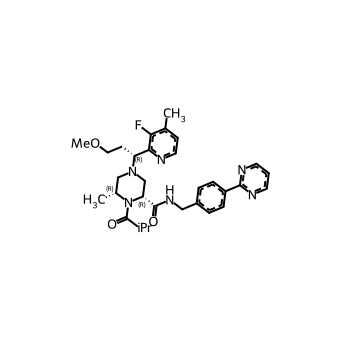 COCC[C@H](c1nccc(C)c1F)N1C[C@@H](C)N(C(=O)C(C)C)[C@@H](C(=O)NCc2ccc(-c3ncccn3)cc2)C1